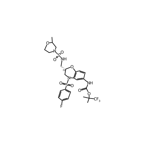 CC1CN(S(=O)(=O)NC[C@H]2CN(S(=O)(=O)c3ccc(F)cc3)c3cc(NC(=O)OC(C)(C)C(F)(F)F)ccc3O2)CCO1